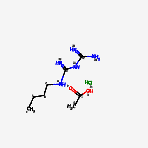 CC(=O)O.CCCCNC(=N)NC(=N)N.Cl